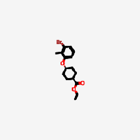 CCOC(=O)[C@H]1CC[C@H](Oc2cccc(Br)c2C)CC1